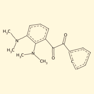 CN(C)c1cccc(C(=O)C(=O)c2ccccc2)c1N(C)C